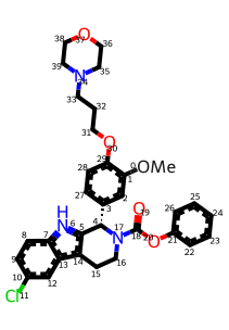 COc1cc([C@H]2c3[nH]c4ccc(Cl)cc4c3CCN2C(=O)Oc2ccccc2)ccc1OCCCN1CCOCC1